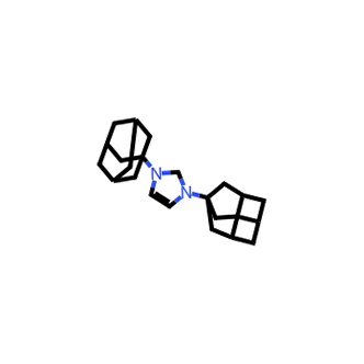 C1=CN(C23CC4CC5CC(C2)C54C3)CN1C12CC3CC(CC(C3)C1)C2